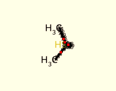 CCCCCCCCCCCCC(S)(CCCCCCCCCCCC)c1ccccc1